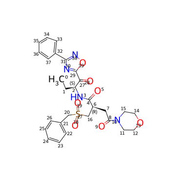 CC[C@H](NC(=O)[C@@H](CC(=O)N1CCOCC1)CS(=O)(=O)Cc1ccccc1)C(=O)c1nc(-c2ccccc2)no1